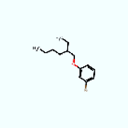 CCCCC(CC)COc1[c]ccc(Br)c1